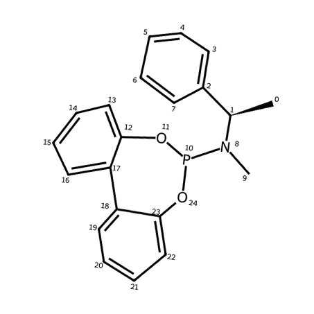 C[C@H](c1ccccc1)N(C)p1oc2ccccc2c2ccccc2o1